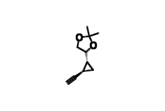 C#C[C@@H]1C[C@H]1C1COC(C)(C)O1